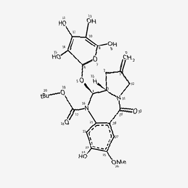 C=C1C[C@H]2[C@H](OC3OC(O)=C(O)C(O)=C3O)N(C(=O)OC(C)(C)C)c3cc(O)c(OC)cc3C(=O)N2C1